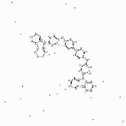 c1cnc2c3cnccc3n(-c3ccc(Cc4ccc(-c5ccc(Cc6ccc(-n7c8ccncc8c8ncccc87)cc6)cc5)cc4)cc3)c2c1